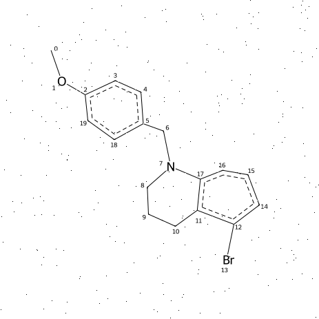 COc1ccc(CN2CCCc3c(Br)cccc32)cc1